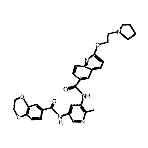 Cc1ncc(NC(=O)c2ccc3c(c2)OCCO3)cc1NC(=O)c1ccc2nc(OCCN3CCCC3)ccc2c1